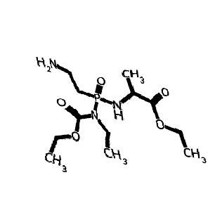 CCOC(=O)C(C)NP(=O)(CCN)N(CC)C(=O)OCC